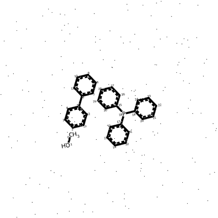 CO.c1ccc(-c2ccccc2)cc1.c1ccc(P(c2ccccc2)c2ccccc2)cc1